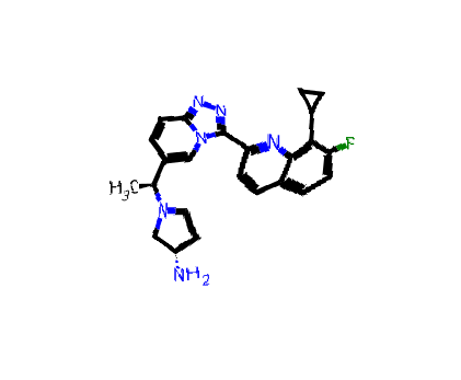 C[C@@H](c1ccc2nnc(-c3ccc4ccc(F)c(C5CC5)c4n3)n2c1)N1CC[C@H](N)C1